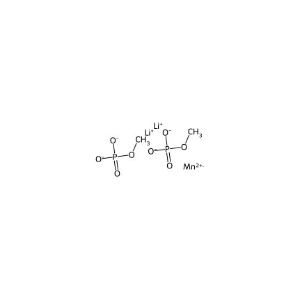 COP(=O)([O-])[O-].COP(=O)([O-])[O-].[Li+].[Li+].[Mn+2]